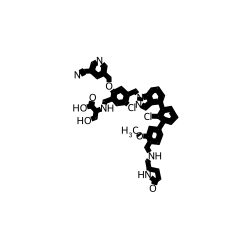 COc1cc(-c2cccc(-c3cccc4c3cnn4Cc3cc(OCc4cncc(C#N)c4)c(CNC(CO)C(=O)O)cc3Cl)c2Cl)ccc1CNCC1CCC(=O)N1